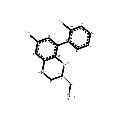 NC[C@@H]1CNc2cc(F)cc(-c3ccccc3F)c2O1